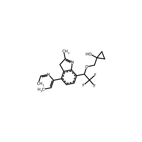 C/C=N\C(=C/C)c1ccc(C(OCC2(O)CC2)C(F)(F)F)c2c1CC(C)=N2